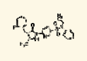 CCN(c1ccccc1)S(=O)(=O)c1ccc(-n2[nH]c(C)c(Cc3ccccc3F)c2=O)nc1